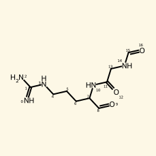 N=C(N)NCCCC(C=O)NC(=O)CNC=O